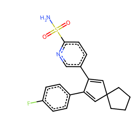 NS(=O)(=O)c1ccc(C2=CC3(C=C2c2ccc(F)cc2)CCCC3)cn1